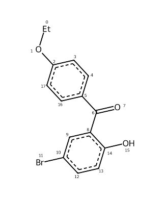 CCOc1ccc(C(=O)c2cc(Br)ccc2O)cc1